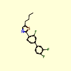 CCCCc1cnc(-c2ccc(-c3ccc(F)c(F)c3)cc2F)s1